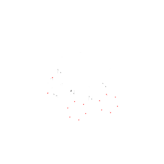 c1ccc(N(c2ccccc2)c2ccc(C(c3ccccc3)(c3ccccc3)N(c3ccccc3)c3ccccc3)c(N(c3ccccc3)c3ccccc3)c2N(c2ccccc2)c2ccccc2)cc1